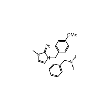 COc1ccc(Cn2ccn(C)[c]2=[Pt])cc1.IN(I)Cc1ccccc1